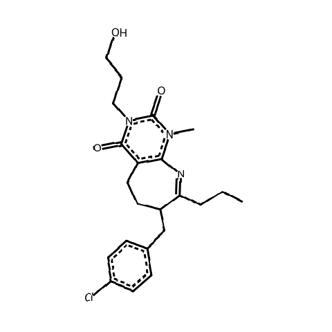 CCCC1=Nc2c(c(=O)n(CCCO)c(=O)n2C)CCC1Cc1ccc(Cl)cc1